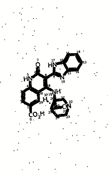 O=C(O)c1ccc2[nH]c(=O)c(-c3nc4ccccc4[nH]3)c(N[C@H]3CN4CCC3CC4)c2c1